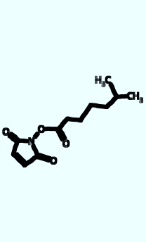 CC(C)CCCCC(=O)ON1C(=O)C=CC1=O